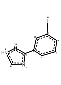 Ic1cccc(-c2nc[nH]n2)c1